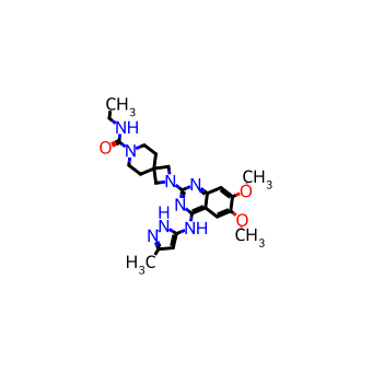 CCNC(=O)N1CCC2(CC1)CN(c1nc(Nc3cc(C)n[nH]3)c3cc(OC)c(OC)cc3n1)C2